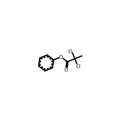 CC(Cl)(Cl)C(=O)Oc1ccccc1